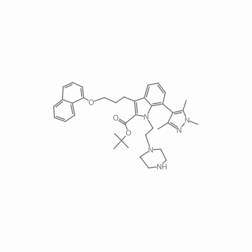 Cc1nn(C)c(C)c1-c1cccc2c(CCCOc3cccc4ccccc34)c(C(=O)OC(C)(C)C)n(CCN3CCNCC3)c12